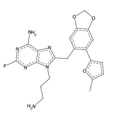 Cc1ccc(-c2cc3c(cc2Cc2nc4c(N)nc(F)nc4n2CCCN)OCO3)o1